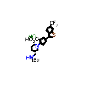 CC(C)(C)NC[C@H]1CCCN(c2ccc(-c3csc4cc(C(F)(F)F)ccc34)cc2C(=O)O)C1.Cl